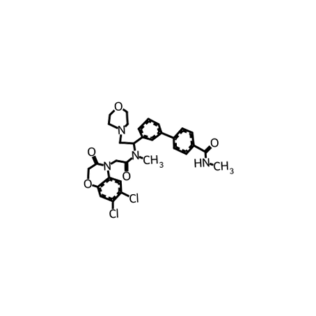 CNC(=O)c1ccc(-c2cccc(C(CN3CCOCC3)N(C)C(=O)CN3C(=O)COc4cc(Cl)c(Cl)cc43)c2)cc1